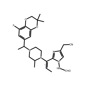 C/C=C(\c1nc(CC#N)cn1NC=O)N1CCN(C(C)c2cc(F)c3c(c2)OC(C)(C)CO3)CC1C